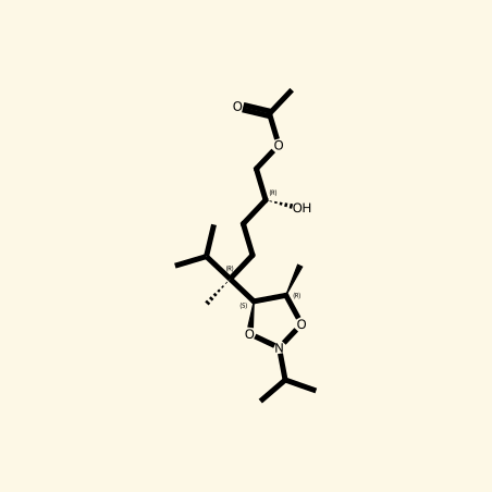 CC(=O)OC[C@H](O)CC[C@](C)(C(C)C)[C@@H]1ON(C(C)C)O[C@@H]1C